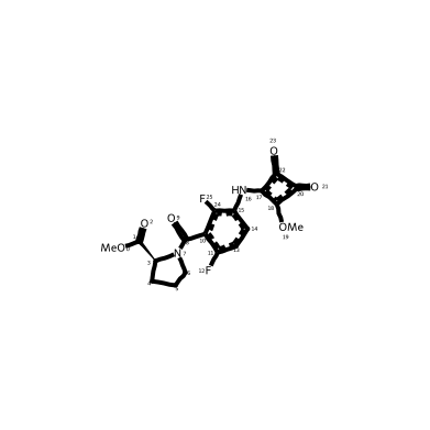 COC(=O)[C@@H]1CCCN1C(=O)c1c(F)ccc(Nc2c(OC)c(=O)c2=O)c1F